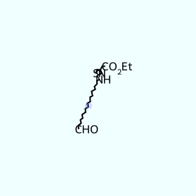 CCOC(=O)Cc1csc(NCCCCCCCC/C=C/CCCCCCCC=O)n1